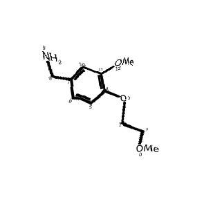 COCCOc1ccc(CN)cc1OC